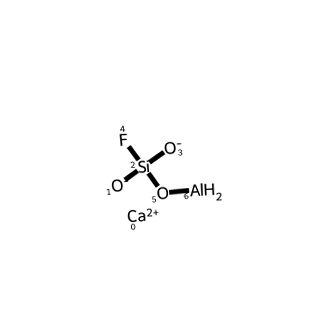 [Ca+2].[O-][Si]([O-])(F)[O][AlH2]